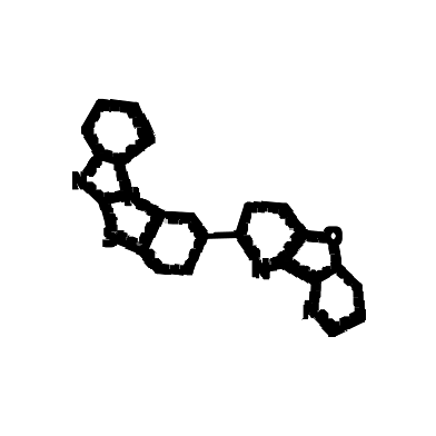 c1ccc2c(c1)nc1sc3ccc(-c4ccc5oc6cccnc6c5n4)cc3n12